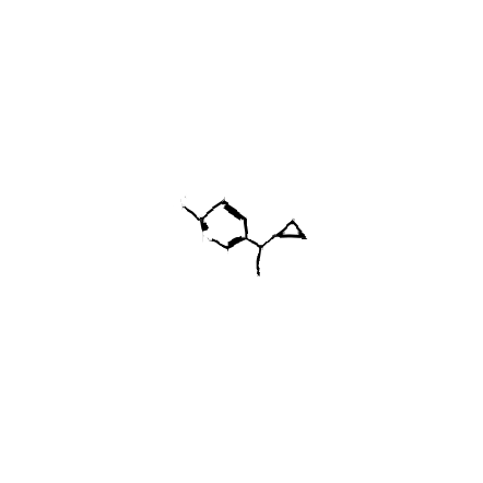 CC(c1ccc(Cl)nc1)C1CC1